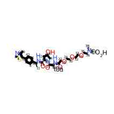 Cc1ncsc1-c1ccc([C@H](C)NC(=O)[C@@H]2C[C@@H](O)CN2C(=O)[C@@H](NC(=O)COCCOCCOCCN(C)C(=O)O)C(C)(C)C)cc1